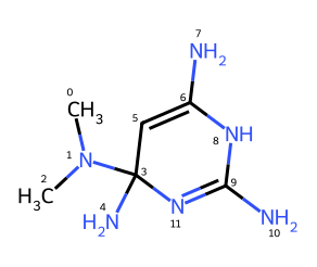 CN(C)C1(N)C=C(N)NC(N)=N1